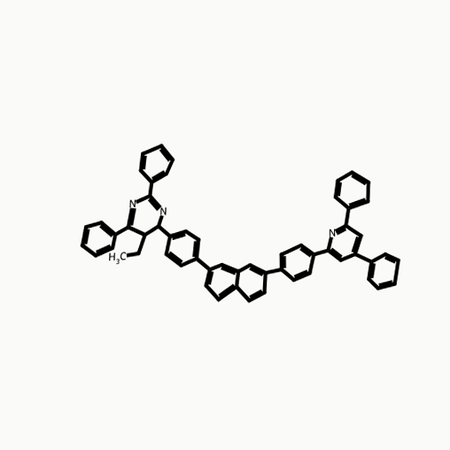 CCC1C(c2ccccc2)=NC(c2ccccc2)=NC1c1ccc(-c2ccc3ccc(-c4ccc(-c5cc(-c6ccccc6)cc(-c6ccccc6)n5)cc4)cc3c2)cc1